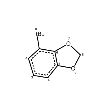 [CH2]C(C)(C)c1cccc2c1OCO2